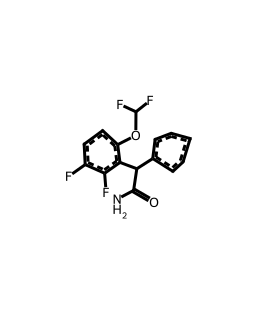 NC(=O)C(c1ccccc1)c1c(OC(F)F)ccc(F)c1F